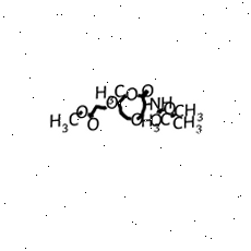 COC(=O)CCO[C@@H]1CCOC[C@H](NC(=O)OC(C)(C)C)C(=O)O[C@H]1C